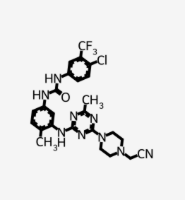 Cc1nc(Nc2cc(NC(=O)Nc3ccc(Cl)c(C(F)(F)F)c3)ccc2C)nc(N2CCN(CC#N)CC2)n1